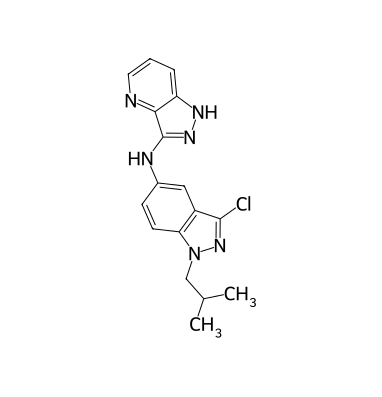 CC(C)Cn1nc(Cl)c2cc(Nc3n[nH]c4cccnc34)ccc21